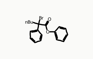 CCCCC(Br)(C(=O)Oc1ccccc1)c1ccccc1